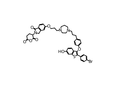 O=C1CCC(N2Cc3cc(OCCCN4CCCN(CCCc5ccc(Oc6c(-c7ccc(Br)cc7)sc7cc(O)ccc67)cc5)CC4)ccc3C2=O)C(=O)O1